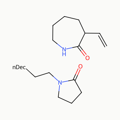 C=CC1CCCCNC1=O.CCCCCCCCCCCCN1CCCC1=O